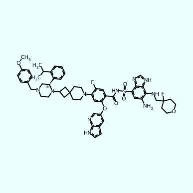 COc1ccc(CN2CCN(C3CC4(CCN(c5cc(Oc6cnc7[nH]ccc7c6)c(C(=O)NS(=O)(=O)c6cc(N)c(NCC7(F)CCOCC7)c7[nH]cnc67)cc5F)CC4)C3)[C@H](c3ccccc3C(C)C)C2)cc1